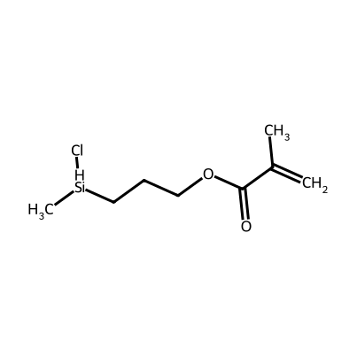 C=C(C)C(=O)OCCC[SiH](C)Cl